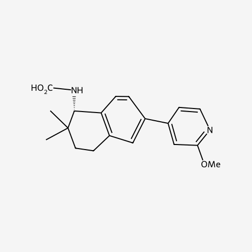 COc1cc(-c2ccc3c(c2)CCC(C)(C)[C@@H]3NC(=O)O)ccn1